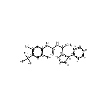 CC(NC(=O)Nc1cc(Br)c(C(F)(F)F)cc1F)c1ncnn1-c1ncccn1